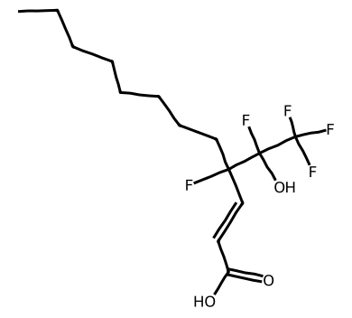 CCCCCCCCC(F)(C=CC(=O)O)C(O)(F)C(F)(F)F